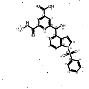 CNC(=O)c1cc(C(=O)O)cc(C(O)c2nccc3c2ccn3S(=O)(=O)c2ccccc2)n1